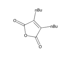 CCCCC1=C(CCCC)C(=O)OC1=O